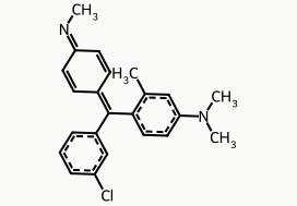 CN=C1C=CC(=C(c2cccc(Cl)c2)c2ccc(N(C)C)cc2C)C=C1